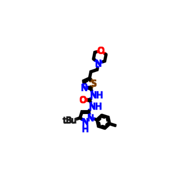 Cc1ccc(N2NC(C(C)(C)C)C=C2NC(=O)Nc2ncc(CCN3CCOCC3)s2)cc1